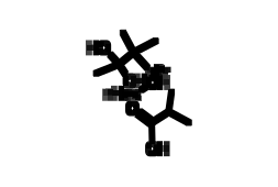 CC(C)C(=O)O.CCCC(C)(C)C(C)(O)O.CCCCCCO